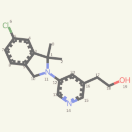 CC1(C)c2cc(Cl)ccc2CN1c1cncc(CCO)c1